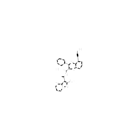 CC#Cc1cccc2nc([C@H](C)NC(=O)c3c(N)nn4cccnc34)c(-c3ccccc3)nc12